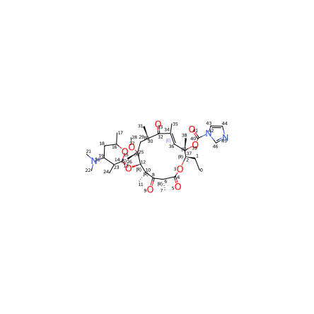 CC[C@H]1OC(=O)[C@H](C)C(=O)[C@H](C)[C@@H](O[C@@H]2OC(C)CC(N(C)C)C2C)[C@](C)(OC)C[C@@H](C)C(=O)/C(C)=C/[C@]1(C)OC(=O)n1ccnc1